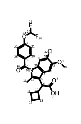 COc1cc2c(C(C(=O)O)C3CCC3)c(C)n(C(=O)c3ccc(OC(F)F)cc3)c2cc1Cl